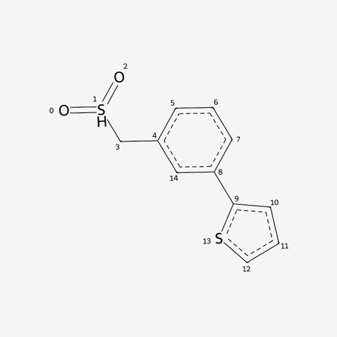 O=[SH](=O)Cc1cccc(-c2cccs2)c1